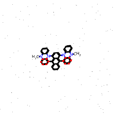 CN1c2ccccc2N(c2ccc(N3c4ccccc4N(C)c4ccccc43)c3c(-c4ccccc4)c4ccccc4c(-c4ccccc4)c23)c2ccccc21